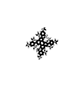 C[Si](C)(C)c1cc([Si](C)(C)C)c(-c2cc3cc(-c4c([Si](C)(C)C)cc([Si](C)(C)C)cc4[Si](C)(C)C)cc4c5cc(-c6c([Si](C)(C)C)cc([Si](C)(C)C)cc6[Si](C)(C)C)cc6cc(-c7c([Si](C)(C)C)cc([Si](C)(C)C)cc7[Si](C)(C)C)cc(c(c2)c34)c65)c([Si](C)(C)C)c1